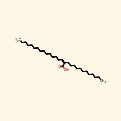 CCCCCCCCCCCCCC/C=C(/CCCCCCCCCCCC)C(=O)O